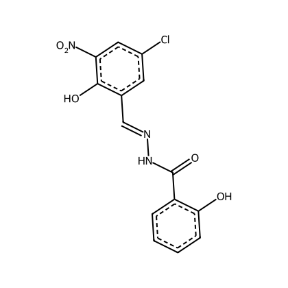 O=C(N/N=C/c1cc(Cl)cc([N+](=O)[O-])c1O)c1ccccc1O